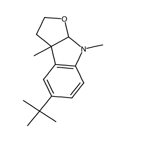 CN1c2ccc(C(C)(C)C)cc2C2(C)CCOC12